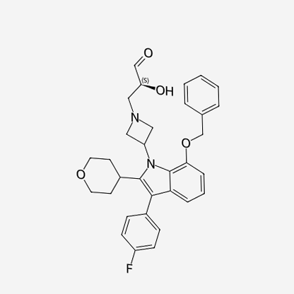 O=C[C@@H](O)CN1CC(n2c(C3CCOCC3)c(-c3ccc(F)cc3)c3cccc(OCc4ccccc4)c32)C1